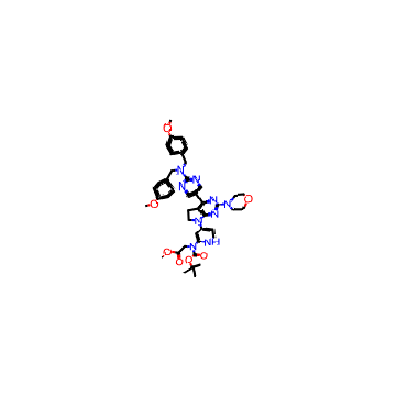 COC(=O)CN(C(=O)OC(C)(C)C)C1=CC(N2CCc3c(-c4cnc(N(Cc5ccc(OC)cc5)Cc5ccc(OC)cc5)nc4)nc(N4CCOCC4)nc32)=CCN1